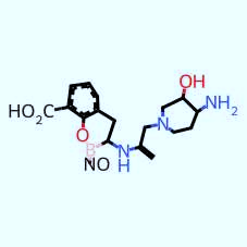 C=C(CN1CCC(N)C(O)C1)NC1Cc2cccc(C(=O)O)c2OB1N=O